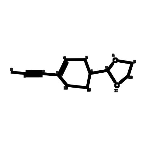 CC#CC1=CCC(C2OCCO2)CC1